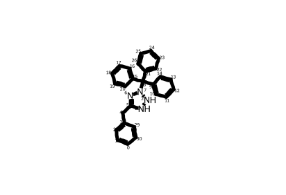 c1ccc(CC2=NN(C(c3ccccc3)(c3ccccc3)c3ccccc3)NN2)cc1